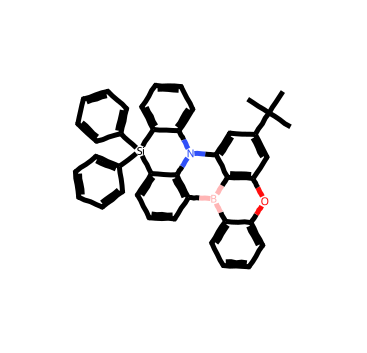 CC(C)(C)c1cc2c3c(c1)N1c4ccccc4[Si](c4ccccc4)(c4ccccc4)c4cccc(c41)B3c1ccccc1O2